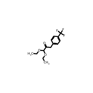 CCOC(OCC)C(=O)Cc1ccc(C(F)(F)F)cc1